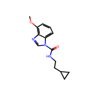 COc1cccc2c1ncn2C(=O)NCCC1CC1